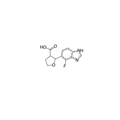 O=C(O)C1CCOC1c1ccc2[nH]cnc2c1F